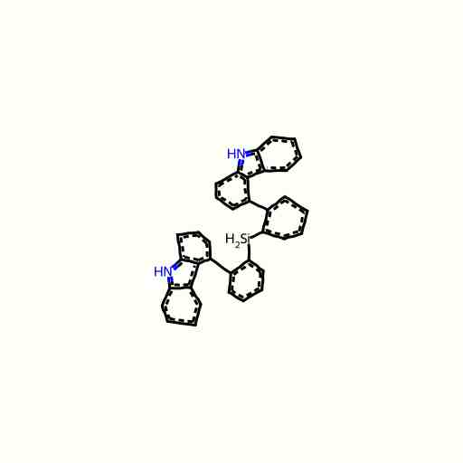 c1ccc(-c2cccc3[nH]c4ccccc4c23)c([SiH2]c2ccccc2-c2cccc3[nH]c4ccccc4c23)c1